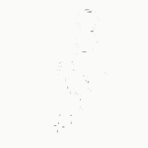 COc1nc(NC2CC(C)(O)C2)nn2ccc(-c3ccc4nccnc4c3)c12